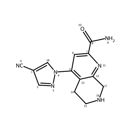 N#Cc1cnn(-c2cc(C(N)=O)nc3c2CCNC3)c1